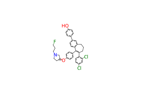 Oc1ccc(-c2ccc3c(c2)CCCC(c2ccc(Cl)cc2Cl)=C3c2ccc(O[C@H]3CCN(CCCF)C3)cc2)cc1